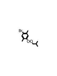 Cc1cc(OOCC(C)C)c(C)cc1Br